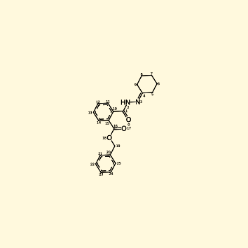 O=C(NN=C1CCCCC1)c1ccccc1C(=O)OCc1ccccc1